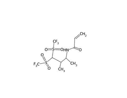 C=CC(=O)NC(C)C(C)C(S(=O)(=O)C(F)(F)F)S(=O)(=O)C(F)(F)F